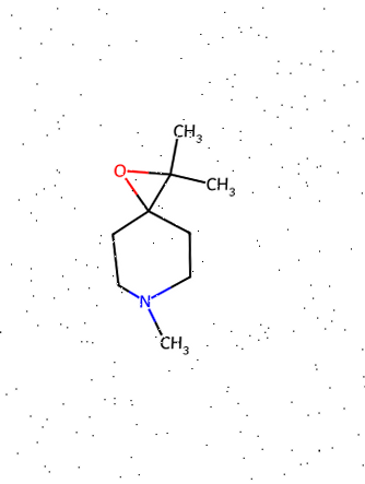 CN1CCC2(CC1)OC2(C)C